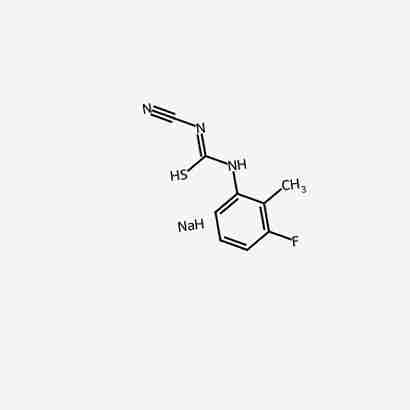 Cc1c(F)cccc1NC(S)=NC#N.[NaH]